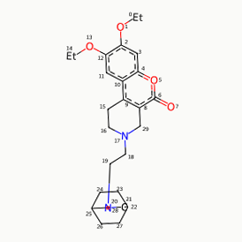 CCOc1cc2oc(=O)c3c(c2cc1OCC)CCN(CCN1CC2CCC(CC2)C1)C3